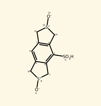 O=S(=O)(O)c1c2c(cc3c1C[S+]([O-])C3)C[S+]([O-])C2